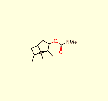 CNC(=O)OC1CC2CC3(C)C2(C)C13C